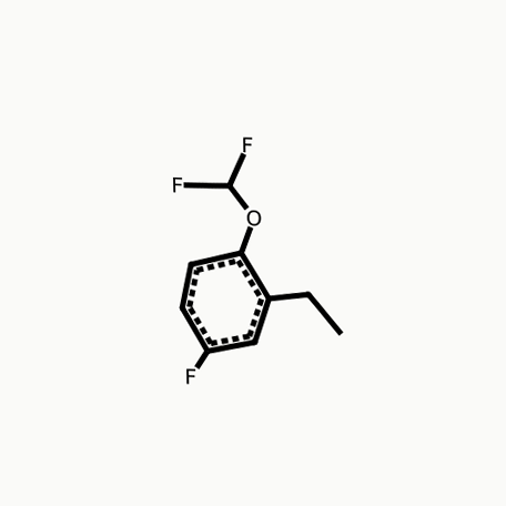 CCc1cc(F)ccc1OC(F)F